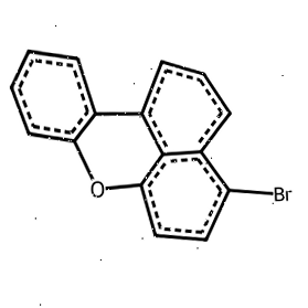 Brc1ccc2c3c(cccc13)-c1ccccc1O2